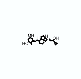 C=C1/C(=C/C=C2\CCC[C@]34C[C@H](/C=C/C(O)C5CC5)[C@H]3CC[C@@H]24)C[C@@H](O)C[C@@H]1O